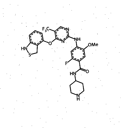 COc1cc(C(=O)NC2CCNCC2)c(F)cc1Nc1ncc(C(F)(F)F)c(Oc2cccc3c2CSN3)n1